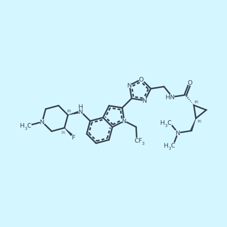 CN(C)C[C@@H]1C[C@H]1C(=O)NCc1nc(-c2cc3c(N[C@@H]4CCN(C)C[C@@H]4F)cccc3n2CC(F)(F)F)no1